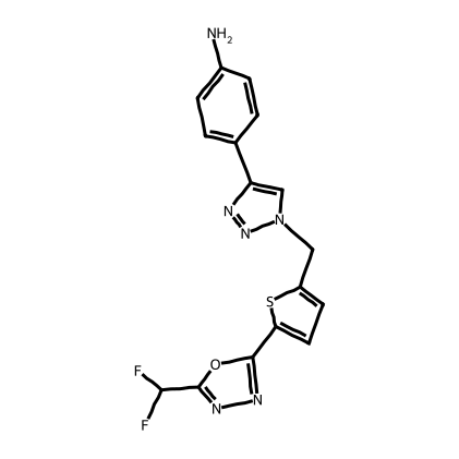 Nc1ccc(-c2cn(Cc3ccc(-c4nnc(C(F)F)o4)s3)nn2)cc1